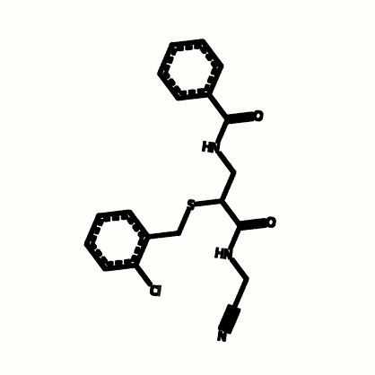 N#CCNC(=O)C(CNC(=O)c1ccccc1)SCc1ccccc1Cl